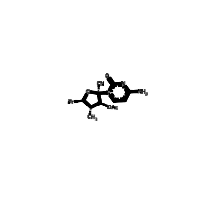 CC(=O)O[C@H]1[C@H](C)[C@@H](C(C)C)O[C@@]1(C#N)n1ccc(N)nc1=O